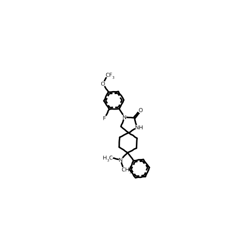 CN(C)C1(c2ccccc2)CCC2(CC1)CN(c1ccc(OC(F)(F)F)cc1F)C(=O)N2